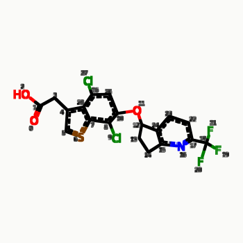 O=C(O)Cc1csc2c(Cl)c(OC3CCc4nc(C(F)(F)F)ccc43)cc(Cl)c12